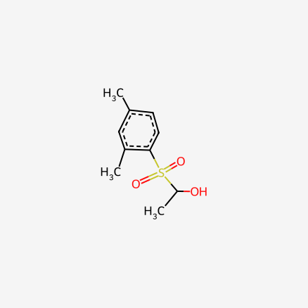 Cc1ccc(S(=O)(=O)C(C)O)c(C)c1